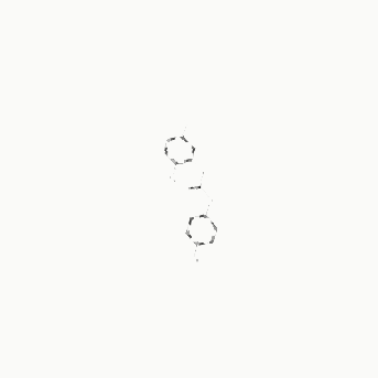 Nc1ccc(O)cc1CC(=O)Nc1ccc(O)cc1